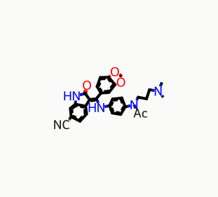 CC(=O)N(CCCN(C)C)c1ccc(NC(=C2C(=O)Nc3cc(C#N)ccc32)c2ccc3c(c2)OCO3)cc1